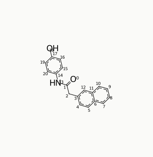 O=C(Cc1ccc2ccccc2c1)Nc1ccc(O)cc1